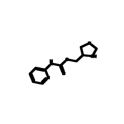 O=C(Nc1ccccn1)OCC1COCN1